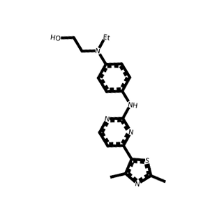 CCN(CCO)c1ccc(Nc2nccc(-c3sc(C)nc3C)n2)cc1